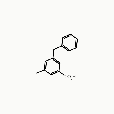 Cc1cc(Cc2ccccc2)cc(C(=O)O)c1